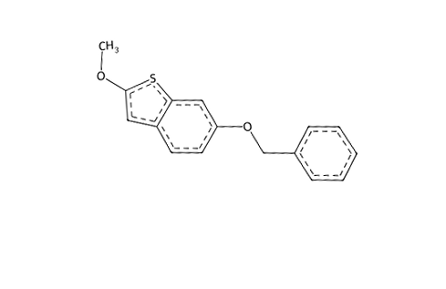 COc1cc2ccc(OCc3ccccc3)cc2s1